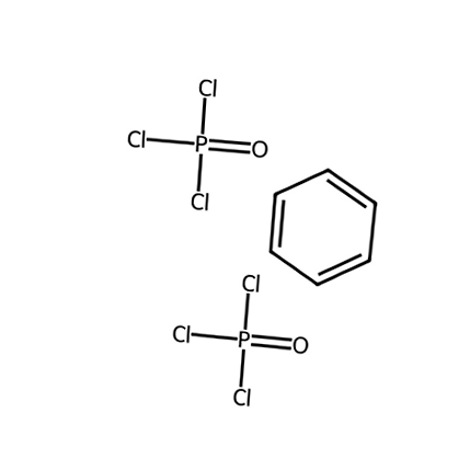 O=P(Cl)(Cl)Cl.O=P(Cl)(Cl)Cl.c1ccccc1